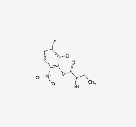 CCC(S)C(=O)Oc1c([N+](=O)[O-])ccc(F)c1Cl